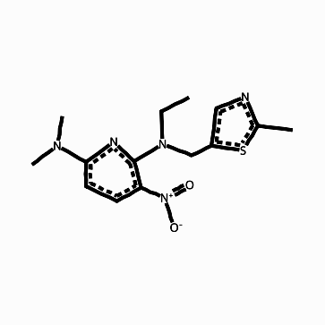 CCN(Cc1cnc(C)s1)c1nc(N(C)C)ccc1[N+](=O)[O-]